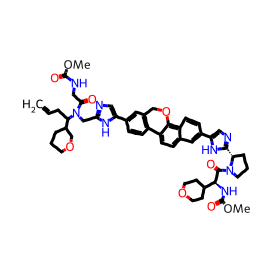 C=CCC(C1CCCOC1)N(Cc1ncc(-c2ccc3c(c2)COc2c-3ccc3cc(-c4cnc([C@@H]5CCCN5C(=O)[C@@H](NC(=O)OC)C5CCOCC5)[nH]4)ccc23)[nH]1)C(=O)CNC(=O)OC